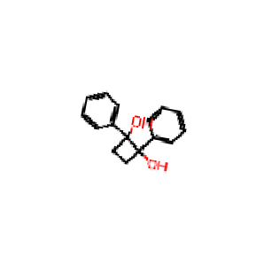 OC1(c2ccccc2)CCC1(O)c1ccccc1